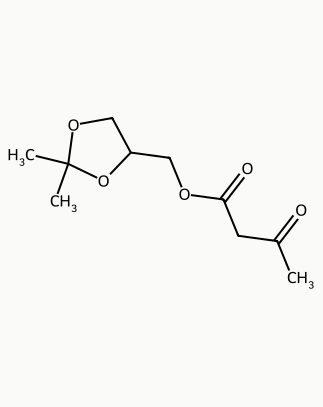 CC(=O)CC(=O)OCC1COC(C)(C)O1